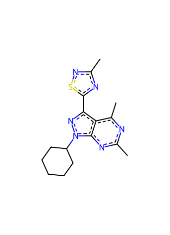 Cc1nsc(-c2nn(C3CCCCC3)c3nc(C)nc(C)c23)n1